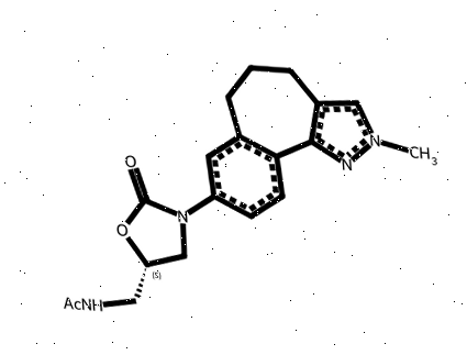 CC(=O)NC[C@H]1CN(c2ccc3c(c2)CCCc2cn(C)nc2-3)C(=O)O1